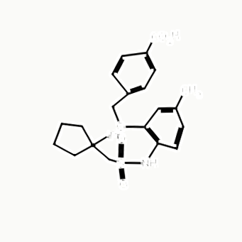 Cc1ccc(NS(=O)(=O)CC2(C(C)C)CCCC2)c(OCc2ccc(C(=O)O)cc2)c1